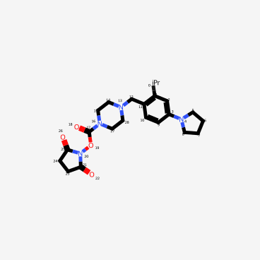 CC(C)c1cc(N2CCCC2)ccc1CN1CCN(C(=O)ON2C(=O)CCC2=O)CC1